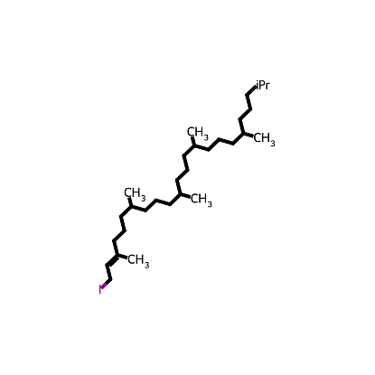 C/C(=C\CI)CCCC(C)CCCC(C)CCCC(C)CCCC(C)CCCC(C)C